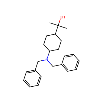 CC(C)(O)C1CCC(N(Cc2ccccc2)Cc2ccccc2)CC1